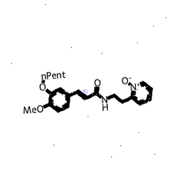 CCCCCOc1cc(/C=C/C(=O)NCCc2cccc[n+]2[O-])ccc1OC